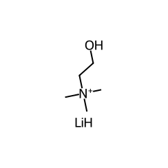 C[N+](C)(C)CCO.[LiH]